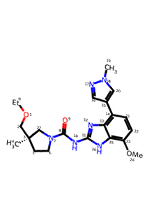 CCOC[C@]1(C)CCN(C(=O)Nc2nc3c(-c4cnn(C)c4)ccc(OC)c3[nH]2)C1